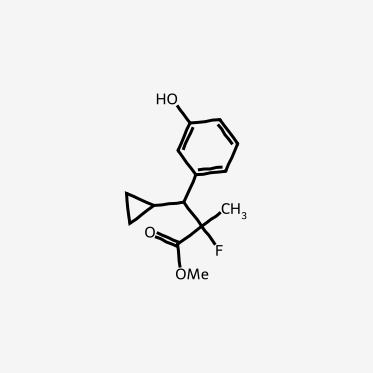 COC(=O)C(C)(F)C(c1cccc(O)c1)C1CC1